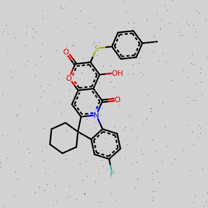 Cc1ccc(Sc2c(O)c3c(=O)n4c(cc3oc2=O)C2(CCCCC2)c2cc(F)ccc2-4)cc1